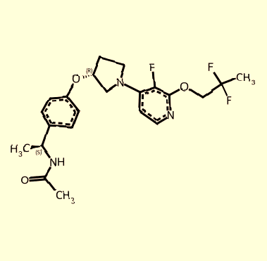 CC(=O)N[C@@H](C)c1ccc(O[C@@H]2CCN(c3ccnc(OCC(C)(F)F)c3F)C2)cc1